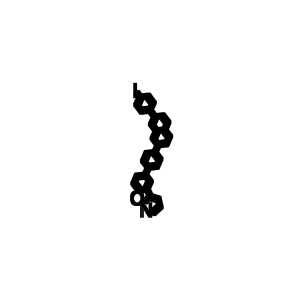 Ic1ccc(-c2ccc3ccc(-c4ccc(-c5ccc6oc7ncccc7c6c5)cc4)cc3c2)cc1